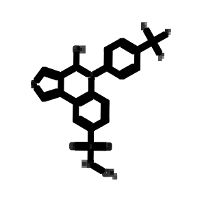 CNS(=O)(=O)c1ccc2c(c1)-c1cscc1C(O)N2c1ccc(C(F)(F)F)cc1